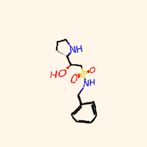 O=S(=O)(C[C@@H](O)[C@@H]1CCCN1)NCc1ccccc1